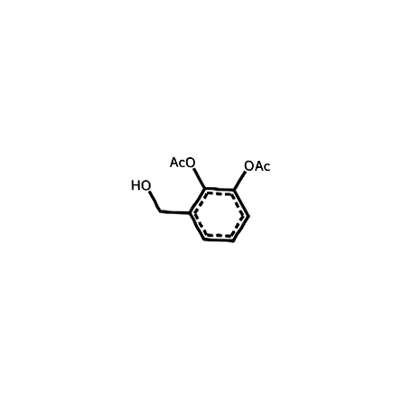 CC(=O)Oc1cccc(CO)c1OC(C)=O